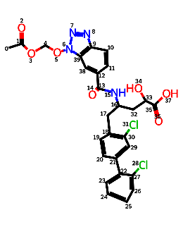 CC(=O)OCOn1nnc2ccc(C(=O)NC(Cc3ccc(-c4ccccc4Cl)cc3Cl)CC(O)C(=O)O)cc21